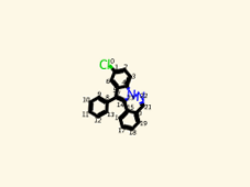 Clc1ccc2c(c1)c(-c1ccccc1)c1c3ccccc3cnn21